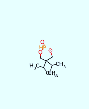 CC(C)C1(C(C)C)CO[PH](=O)OC1